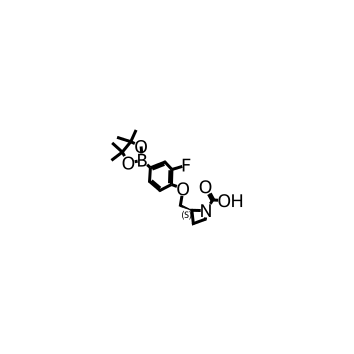 CC1(C)OB(c2ccc(OC[C@@H]3CCN3C(=O)O)c(F)c2)OC1(C)C